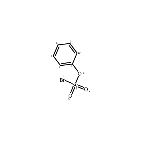 O=[Se](=O)(Br)Oc1ccccc1